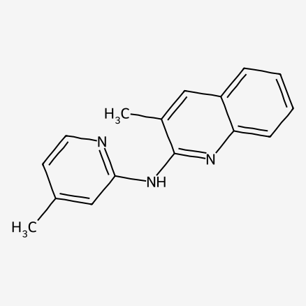 Cc1ccnc(Nc2nc3ccccc3cc2C)c1